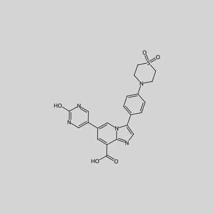 O=C(O)c1cc(-c2cnc(O)nc2)cn2c(-c3ccc(N4CCS(=O)(=O)CC4)cc3)cnc12